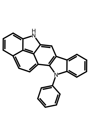 c1ccc(-n2c3ccccc3c3cc4[nH]c5cccc6ccc(c4c65)c32)cc1